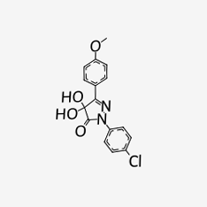 COc1ccc(C2=NN(c3ccc(Cl)cc3)C(=O)C2(O)O)cc1